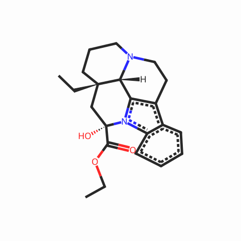 CCOC(=O)[C@@]1(O)C[C@]2(CC)CCCN3CCc4c(n1c1ccccc41)[C@@H]32